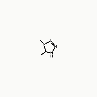 CC1NN=NN1C